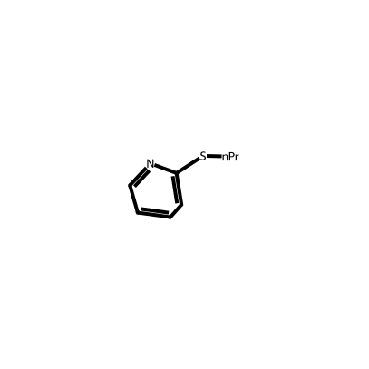 [CH2]CCSc1ccccn1